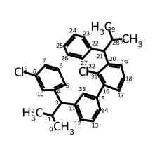 CC(C)C(c1cccc(Cl)c1)c1cccc(-c2cccc(C(c3ccccc3)C(C)C)c2Cl)c1